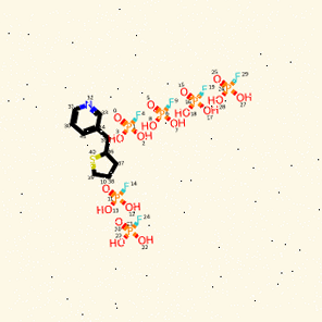 O=P(O)(O)F.O=P(O)(O)F.O=P(O)(O)F.O=P(O)(O)F.O=P(O)(O)F.O=P(O)(O)F.c1cncc(CC2CCCS2)c1